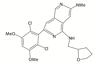 CNc1cc2c(NCC3CCCO3)nc(-c3c(Cl)c(OC)cc(OC)c3Cl)cc2cn1